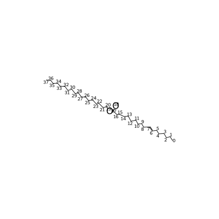 CCCCCC/C=C/CCCCCCCCCC(=O)OCCCCCCCCCCCCCCCCCC